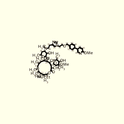 CC[C@H]1OC(=O)[C@H](C)[C@@H](C2C[C@@](C)(OC)[C@@H](O)[C@H](C)O2)[C@H](C)[C@@H](O[C@@H]2O[C@H](C)C[C@H](N(C)CCc3cn(CCOCc4ccc(-c5ccc(OC)nc5)cc4)nn3)[C@H]2O)[C@](C)(O)C[C@@H](C)CN(C)[C@H](C)[C@@H](O)[C@]1(C)O